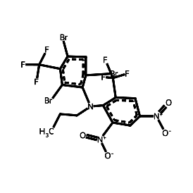 CCCN(c1c([N+](=O)[O-])cc([N+](=O)[O-])cc1C(F)(F)F)c1c(Br)cc(Br)c(C(F)(F)F)c1Br